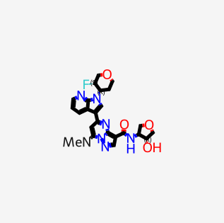 CNc1cc(-c2cn([C@@H]3CCOC[C@H]3F)c3ncccc23)nc2c(C(=O)NC3COC[C@@H]3O)cnn12